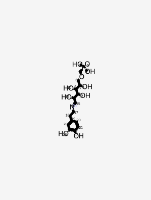 O=P(O)(O)COCC(O)C(O)C(O)C(O)/C=N/CCc1ccc(O)c(O)c1